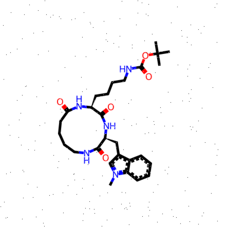 Cn1cc(C[C@@H]2NC(=O)[C@H](CCCCNC(=O)OC(C)(C)C)NC(=O)CCCCNC2=O)c2ccccc21